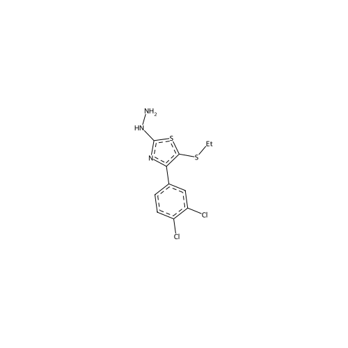 CCSc1sc(NN)nc1-c1ccc(Cl)c(Cl)c1